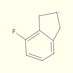 Fc1cccc2c1C[CH]C2